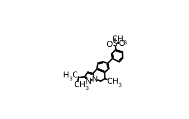 CC(C)c1cc2n(n1)CC(C)c1cc(-c3cccc(S(C)(=O)=O)c3)ccc1-2